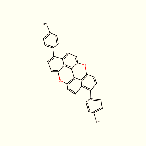 CC(C)c1ccc(-c2ccc3oc4ccc5c(-c6ccc(C(C)C)cc6)ccc6oc7ccc2c3c7-c4c65)cc1